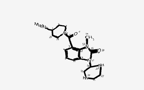 CNC1CCN(C(=O)c2cccc3c2n(C)c(=O)n3C2CNCCN2)CC1